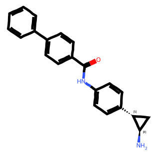 N[C@@H]1C[C@H]1c1ccc(NC(=O)c2ccc(-c3ccccc3)cc2)cc1